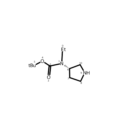 CCN(C(=O)OC(C)(C)C)[C@H]1CCNC1